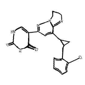 O=c1[nH]cc(C2=NN3CCN=C3C(C3CC3c3ccccc3Cl)=C2)c(=O)[nH]1